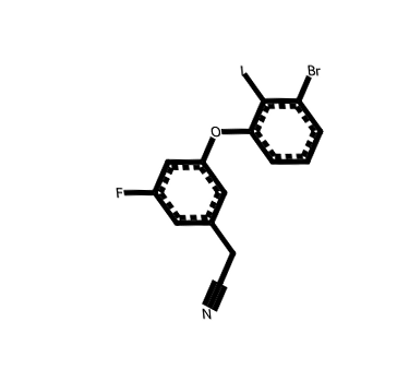 N#CCc1cc(F)cc(Oc2cccc(Br)c2I)c1